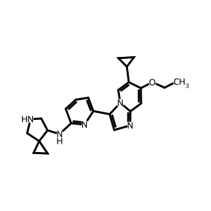 CCOc1cc2ncc(-c3cccc(NC4CNCC45CC5)n3)n2cc1C1CC1